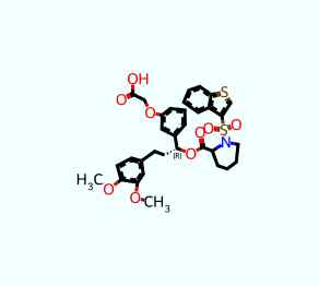 COc1ccc(CC[C@@H](OC(=O)C2CCCCN2S(=O)(=O)c2csc3ccccc23)c2cccc(OCC(=O)O)c2)cc1OC